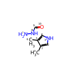 Cc1c[nH]cc1C.NNC=O